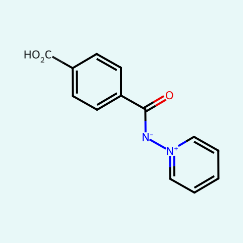 O=C(O)c1ccc(C(=O)[N-][n+]2ccccc2)cc1